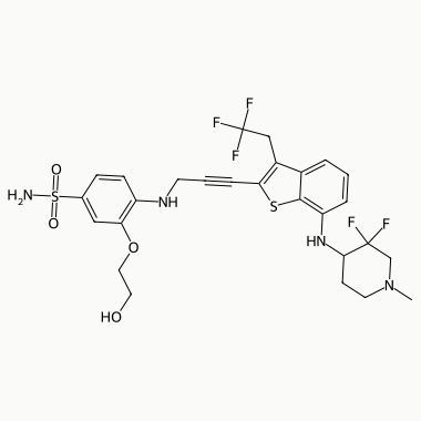 CN1CCC(Nc2cccc3c(CC(F)(F)F)c(C#CCNc4ccc(S(N)(=O)=O)cc4OCCO)sc23)C(F)(F)C1